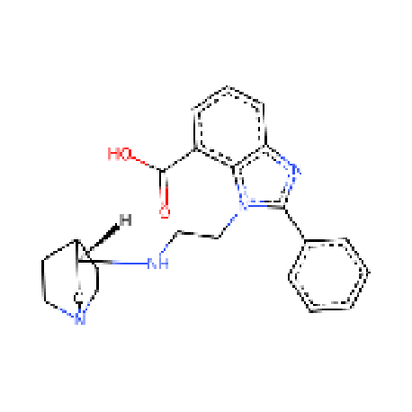 O=C(O)c1cccc2nc(-c3ccccc3)n(CCN[C@@H]3CN4CCC3CC4)c12